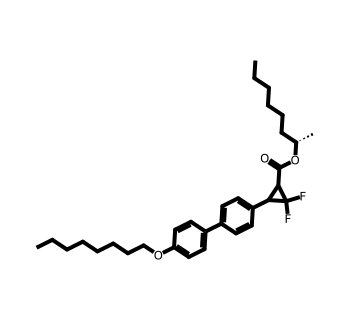 CCCCCCCCOc1ccc(-c2ccc(C3C(C(=O)O[C@@H](C)CCCCCC)C3(F)F)cc2)cc1